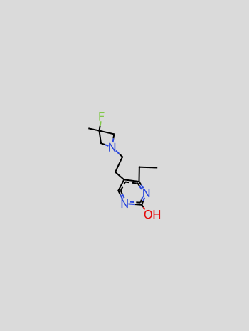 CCc1nc(O)ncc1CCN1CC(C)(F)C1